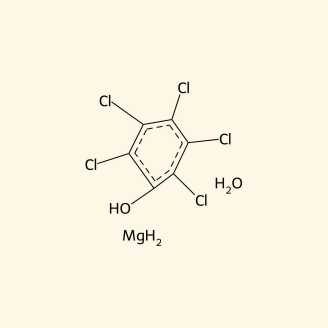 O.Oc1c(Cl)c(Cl)c(Cl)c(Cl)c1Cl.[MgH2]